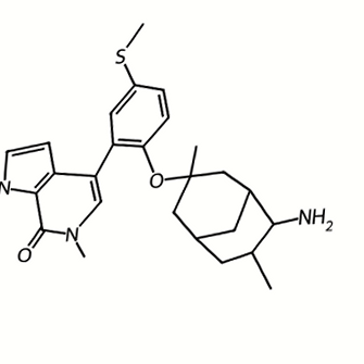 CSc1ccc(OC2(C)CC3CC(C)C(N)C(C3)C2)c(-c2cn(C)c(=O)c3[nH]ccc23)c1